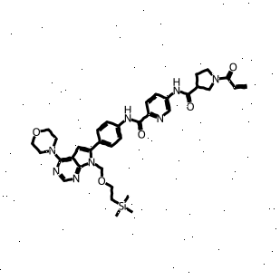 C=CC(=O)N1CCC(C(=O)Nc2ccc(C(=O)Nc3ccc(-c4cc5c(N6CCOCC6)ncnc5n4COCC[Si](C)(C)C)cc3)nc2)C1